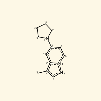 Cc1cnn2ccc(N3CCCC3)cc12